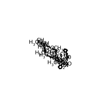 CCCCCC[C@@H](OCCNC(=O)[C@@H](C)COCCCN=C(NC(=O)OC(C)(C)C)NC(=O)OC(C)(C)C)[C@@H](C)C(=O)N(C)[C@@H](CC(C)C)C(=O)N[C@H](C(=O)N[C@@H](CNC(=O)OCc1ccccc1)C(N)=O)C1CCCCC1